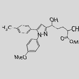 COC(=O)C(C)CCC(O)c1cc(-c2ccc(C)cc2)n(-c2ccc(OC)cc2)n1